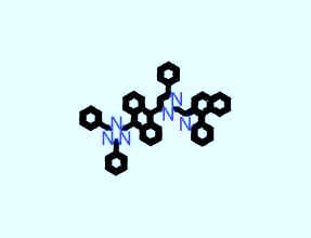 c1ccc(-c2cc(-c3c4ccccc4c(-c4nc(-c5ccccc5)nc(-c5ccccc5)n4)c4ccccc34)nc(-c3nc4ccccc4c4c3ccc3ccccc34)n2)cc1